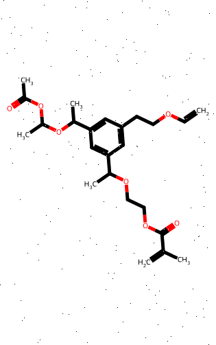 C=COCCc1cc(C(C)OCCOC(=O)C(=C)C)cc(C(C)OC(C)OC(C)=O)c1